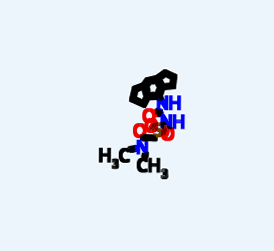 CCN(CC)C(=O)CS(=O)(=O)NC(=O)Nc1c2c(cc3c1CCC3)CCC2